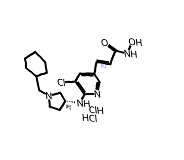 Cl.Cl.O=C(/C=C/c1cnc(N[C@@H]2CCN(CC3CCCCC3)C2)c(Cl)c1)NO